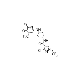 CCn1nc(NC2CCC(NC(=O)c3cn(CC(F)(F)F)nc3Cl)CC2)cc(C(F)(F)F)c1=O